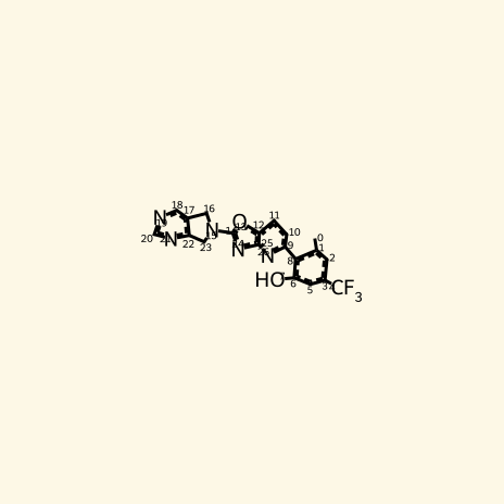 Cc1cc(C(F)(F)F)cc(O)c1-c1ccc2oc(N3Cc4cncnc4C3)nc2n1